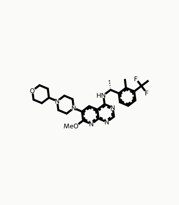 COc1nc2ncnc(N[C@H](C)c3cccc(C(C)(F)F)c3C)c2cc1N1CCN(C2CCOCC2)CC1